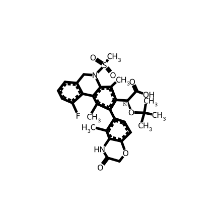 Cc1c(-c2c(C)c3c(c(C)c2[C@H](OC(C)(C)C)C(=O)O)N(S(C)(=O)=O)Cc2cccc(F)c2-3)ccc2c1NC(=O)CO2